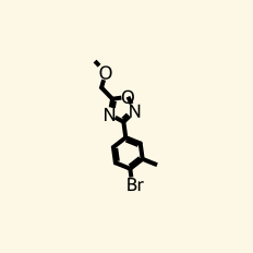 COCc1nc(-c2ccc(Br)c(C)c2)no1